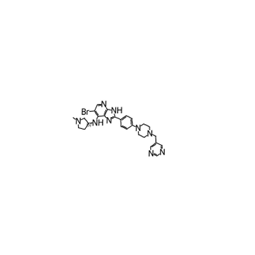 CN1CC[C@H](Nc2c(Br)cnc3[nH]c(-c4ccc(N5CCN(Cc6cncnc6)CC5)cc4)nc23)C1